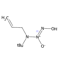 C=CCN(/[N+]([O-])=N/O)C(C)(C)C